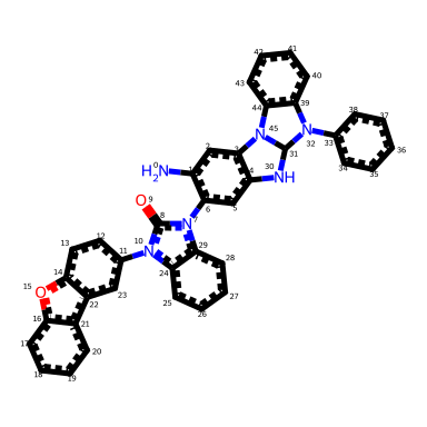 Nc1cc2c(cc1-n1c(=O)n(-c3ccc4oc5ccccc5c4c3)c3ccccc31)NC1N(c3ccccc3)c3ccccc3N21